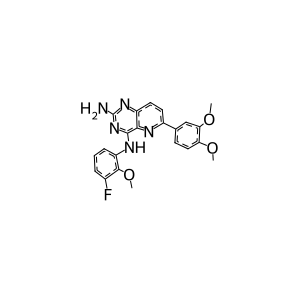 COc1ccc(-c2ccc3nc(N)nc(Nc4cccc(F)c4OC)c3n2)cc1OC